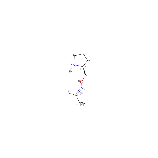 C/C(=N\OC[C@@H]1CCCN1C)C(C)C